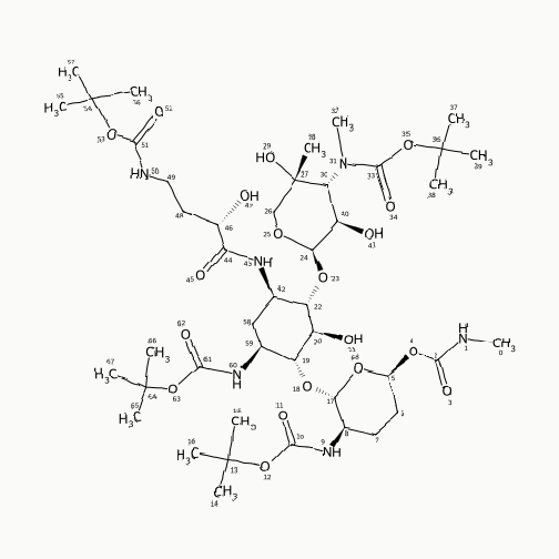 CNC(=O)O[C@H]1CC[C@@H](NC(=O)OC(C)(C)C)[C@H](O[C@H]2[C@H](O)[C@@H](O[C@H]3OC[C@](C)(O)[C@H](N(C)C(=O)OC(C)(C)C)[C@H]3O)[C@H](NC(=O)[C@@H](O)CCNC(=O)OC(C)(C)C)C[C@@H]2NC(=O)OC(C)(C)C)O1